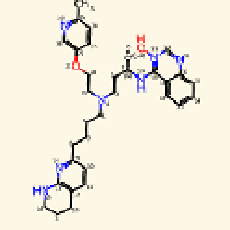 CC(=O)[C@H](CCN(CCCCc1ccc2c(n1)NCCC2)CCOc1ccc(C)nc1)Nc1c2ccccc2nc[n+]1O